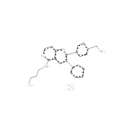 Cl.Cl.NCc1ccc(-c2nc3ccnc(NCCCO)c3cc2-c2ccccc2)cc1